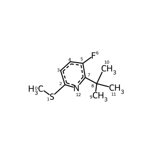 CSc1ccc(F)c(C(C)(C)C)n1